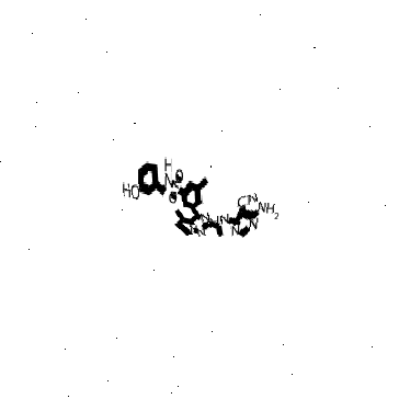 Cc1cc(-c2nc(C(C)Nc3ncnc(N)c3C#N)nn3ccc(C)c23)cc(S(=O)(=O)NCc2cccc(O)c2)c1